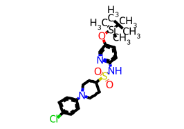 CC(C)(C)[Si](C)(C)Oc1ccc(NS(=O)(=O)C2CCN(c3ccc(Cl)cc3)CC2)nc1